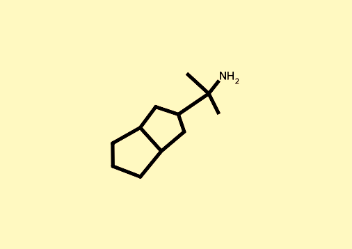 CC(C)(N)C1CC2CCCC2C1